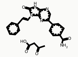 CC(=O)CC(=O)O.NC(=O)c1ccc(-c2cnc3[nH]c(=O)n(C=Cc4ccccc4)c3n2)cc1